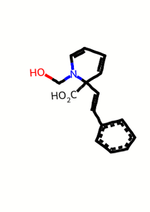 O=C(O)C1(C=Cc2ccccc2)C=CC=CN1CO